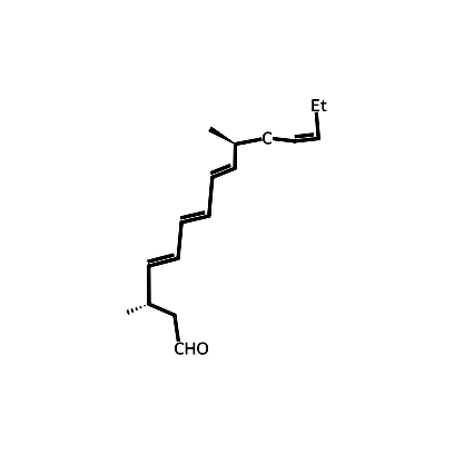 CC/C=C\C[C@H](C)/C=C/C=C/C=C/[C@@H](C)CC=O